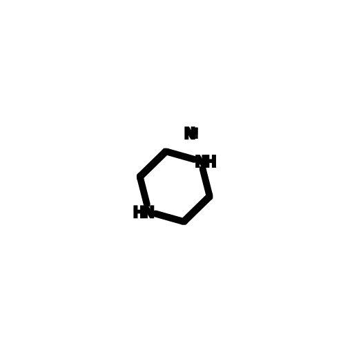 C1CNCCN1.[N]